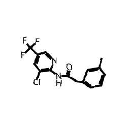 Cc1cccc(CC(=O)Nc2ncc(C(F)(F)F)cc2Cl)c1